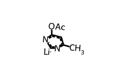 CC(=O)Oc1cc(C)ncn1.[Li]